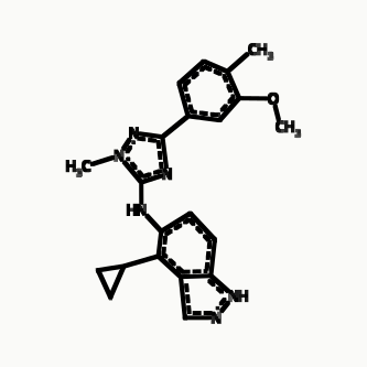 COc1cc(-c2nc(Nc3ccc4[nH]ncc4c3C3CC3)n(C)n2)ccc1C